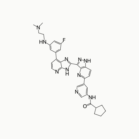 CN(C)CCNc1cc(F)cc(-c2ccnc3[nH]c(-c4n[nH]c5ccc(-c6cncc(NC(=O)C7CCCC7)c6)nc45)nc23)c1